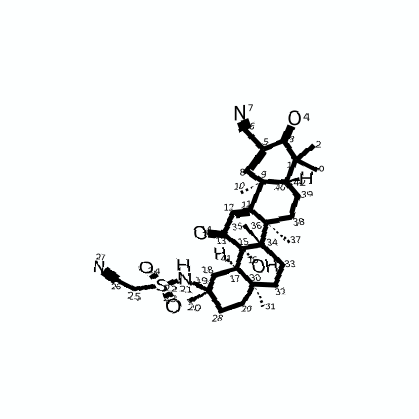 CC1(C)C(=O)C(C#N)=C[C@]2(C)C3=CC(=O)[C@]4(O)[C@@H]5C[C@@](C)(NS(=O)(=O)CC#N)CC[C@]5(C)CC[C@@]4(C)[C@]3(C)CC[C@@H]12